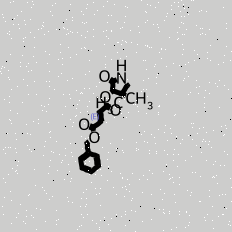 CC1(C)CNC(=O)C1OC(=O)/C=C/C(=O)OCc1ccccc1